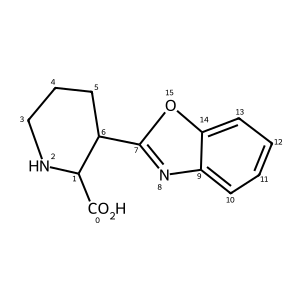 O=C(O)C1NCCCC1c1nc2ccccc2o1